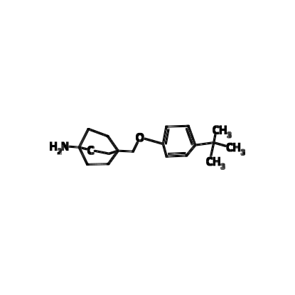 CC(C)(C)c1ccc(OCC23CCC(N)(CC2)CC3)cc1